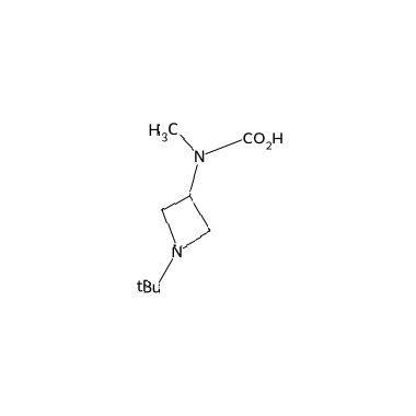 CN(C(=O)O)C1CN(C(C)(C)C)C1